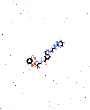 O=C(NCC(NS(=O)(=O)c1c(Cl)cccc1Cl)C(=O)O)c1ccc2c(cnn2CCCNC2N=CCCN2)c1